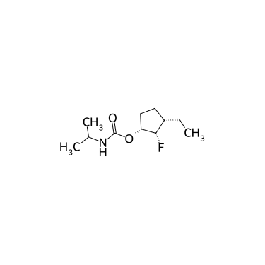 CC[C@H]1CC[C@@H](OC(=O)NC(C)C)[C@H]1F